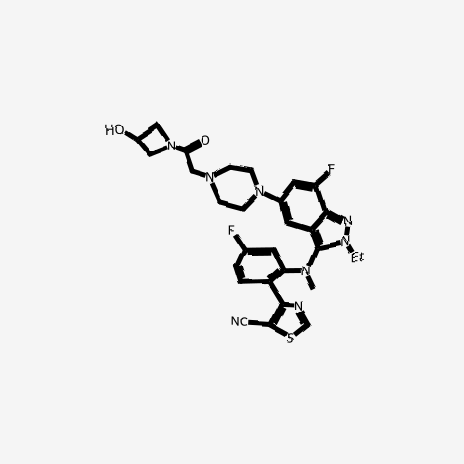 CCn1nc2c(F)cc(N3CCN(CC(=O)N4CC(O)C4)CC3)cc2c1N(C)c1cc(F)ccc1-c1ncsc1C#N